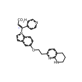 O=C(O)/C=C(\c1ccncc1)n1ccc2cc(OCCc3ccc4c(n3)NCCC4)ccc21